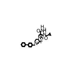 NC(=O)c1cn(C2CCN(Cc3ccc(-c4ccccc4)cc3)CC2F)nc1NC(=O)C1CC1